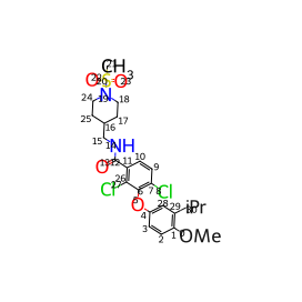 COc1ccc(Oc2c(Cl)ccc(C(=O)NCC3CCN(S(C)(=O)=O)CC3)c2Cl)cc1C(C)C